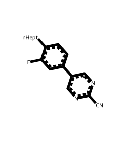 CCCCCCCc1ccc(-c2cnc(C#N)nc2)cc1F